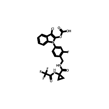 O=C(O)Oc1c(Cl)c2ccccc2n1-c1ccc(CNC(=O)C2(NC(=O)C(F)(F)F)CC2)c(F)c1